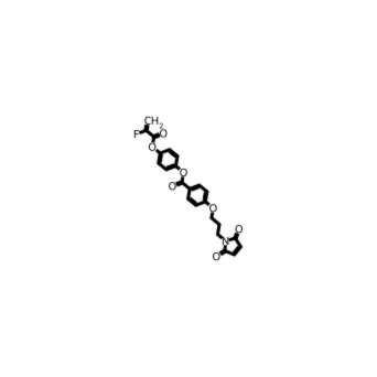 C=C(F)C(=O)Oc1ccc(OC(=O)c2ccc(OCCCN3C(=O)C=CC3=O)cc2)cc1